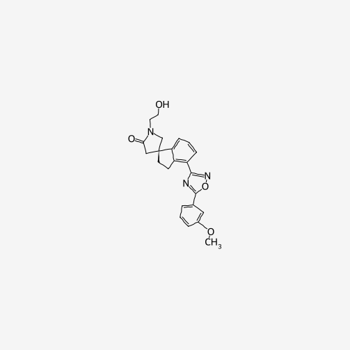 COc1cccc(-c2nc(-c3cccc4c3CC[C@]43CC(=O)N(CCO)C3)no2)c1